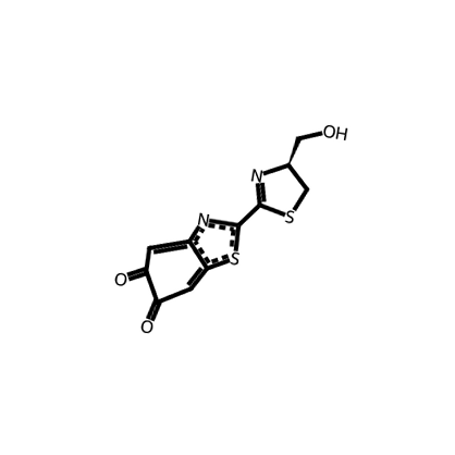 O=C1C=c2nc(C3=N[C@@H](CO)CS3)sc2=CC1=O